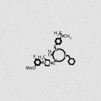 COc1cc(F)cc(N2CCN(SN3CCCN(CC4CCCCC4)CCCN(Sc4ccc(N(C)C)cc4)CC(C)C3)CC2C)c1